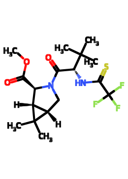 COC(=O)[C@@H]1[C@@H]2[C@H](CN1C(=O)[C@@H](NC(=S)C(F)(F)F)C(C)(C)C)C2(C)C